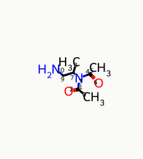 CC(=O)N(C(C)=O)C(C)CN